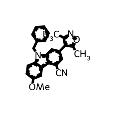 COc1ccc2c(c1)c1c(C#N)cc(-c3c(C)noc3C)cc1n2Cc1ccccc1